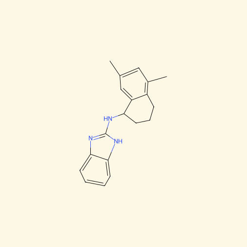 Cc1cc(C)c2c(c1)C(Nc1nc3ccccc3[nH]1)CCC2